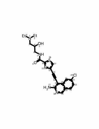 CCN(CC)CC(O)CNC(=O)c1nc(C#Cc2c(N)ncc3ccc(Cl)cc23)cs1